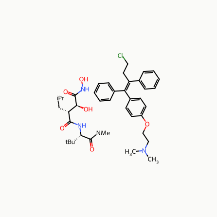 CN(C)CCOc1ccc(/C(=C(/CCCl)c2ccccc2)c2ccccc2)cc1.CNC(=O)[C@@H](NC(=O)[C@H](CC(C)C)[C@H](O)C(=O)NO)C(C)(C)C